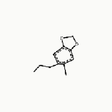 [CH2]c1cc2c(cc1CCC)OCO2